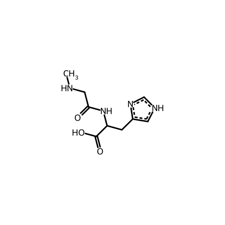 CNCC(=O)NC(Cc1c[nH]cn1)C(=O)O